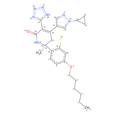 CCCCCCOc1ccc([C@]2(C)CC(c3cnn(C4CC4)c3)=C(c3nnn[nH]3)C(=O)N2)c(F)c1